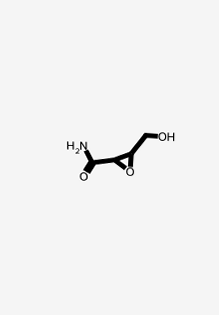 NC(=O)C1OC1CO